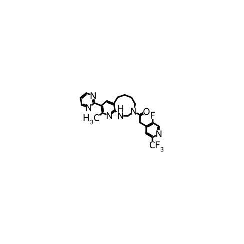 Cc1nc2c(cc1-c1ncccn1)CCCCN(C(=O)Cc1cc(C(F)(F)F)ncc1F)CN2